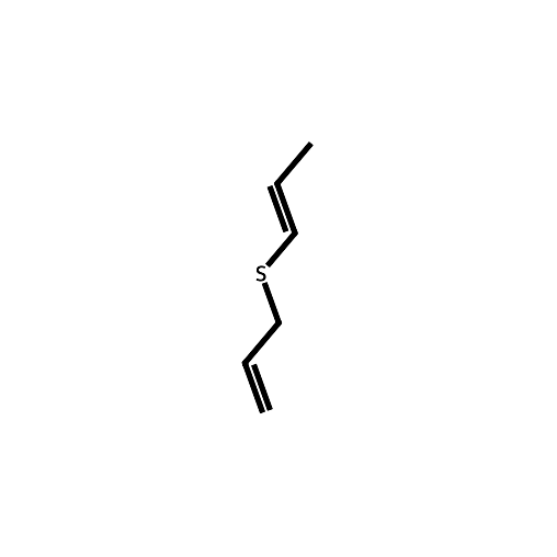 C=CCSC=CC